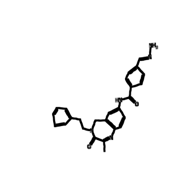 CC1=Nc2ccc(NC(=O)c3ccc(C=NN)cc3)cc2CN(CCc2ccccc2)C1=O